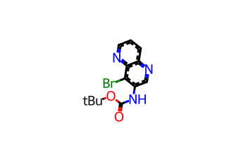 CC(C)(C)OC(=O)Nc1cnc2cccnc2c1Br